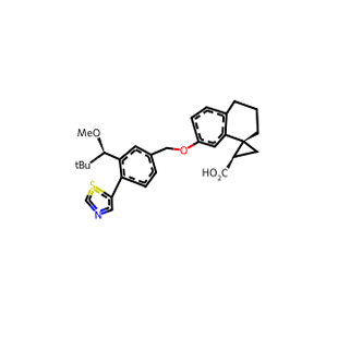 CO[C@@H](c1cc(COc2ccc3c(c2)[C@]2(CCC3)C[C@H]2C(=O)O)ccc1-c1cncs1)C(C)(C)C